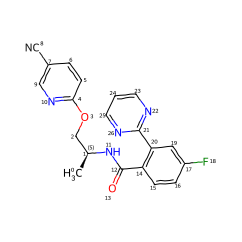 C[C@@H](COc1ccc(C#N)cn1)NC(=O)c1ccc(F)cc1-c1ncccn1